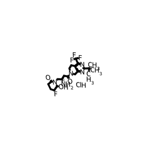 CC(C)(C)c1nc2c(c(C(F)(F)F)n1)CCN(C(=O)C[C@H](N)CN1C(=O)CCC(F)C1O)C2.Cl